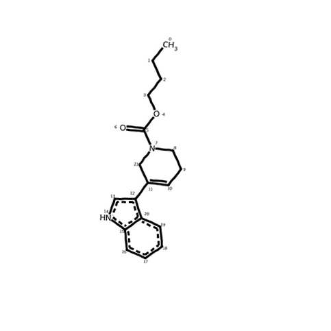 CCCCOC(=O)N1CCC=C(c2c[nH]c3ccccc23)C1